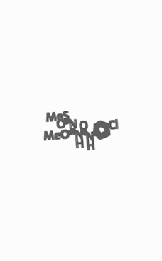 COC(=NC(=O)SC)NC(=O)Nc1ccc(Cl)cc1